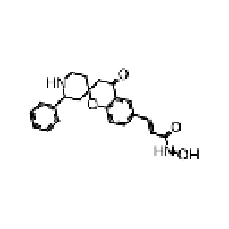 O=C(C=Cc1ccc2c(c1)C(=O)CC1(CCNC(c3ccccc3)C1)O2)NO